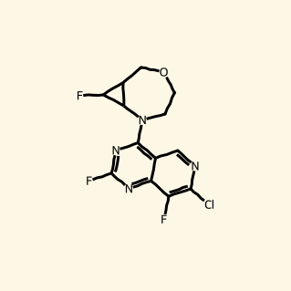 Fc1nc(N2CCOCC3C(F)C32)c2cnc(Cl)c(F)c2n1